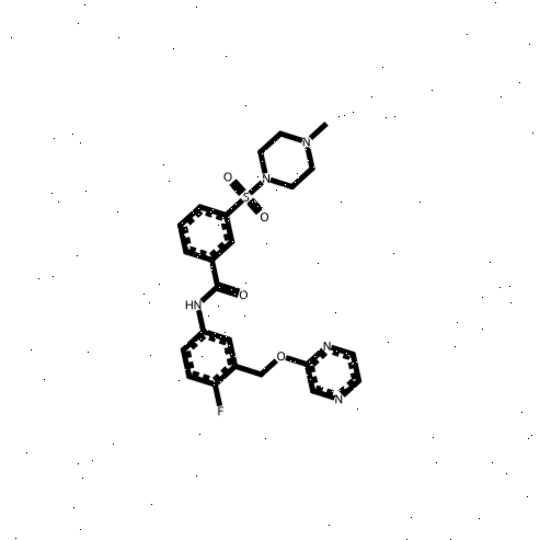 CN1CCN(S(=O)(=O)c2cccc(C(=O)Nc3ccc(F)c(COc4cnccn4)c3)c2)CC1